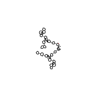 c1ccc(-c2ccc(-c3ccc(N(c4ccc(-c5ccc(-c6cccc(-c7cccc(-c8ccc(-c9ccc(N(c%10cccc(-c%11cccc%12ccccc%11%12)c%10)c%10cccc(-c%11cccc%12oc%13c%14ccccc%14ccc%13c%11%12)c%10)cc9)cc8)c7)c6)cc5)cc4)c4cccc(-c5cccc6oc7c8ccccc8ccc7c56)c4)cc3)cc2)cc1